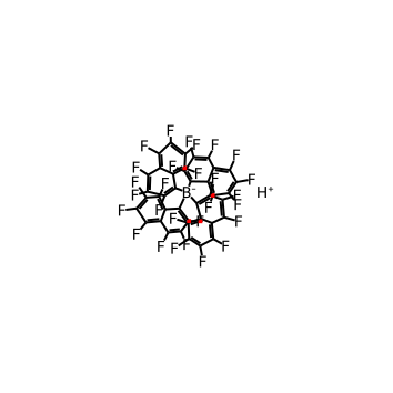 Fc1c(F)c(F)c2c([B-](c3c(F)c(F)c(F)c4c(F)c(F)c(F)c(F)c34)(c3c(F)c(F)c(F)c4c(F)c(F)c(F)c(F)c34)c3c(F)c(F)c(F)c4c(F)c(F)c(F)c(F)c34)c(F)c(F)c(F)c2c1F.[H+]